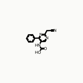 N#CCc1ncc(NC(=O)O)c(-c2ccccc2)n1